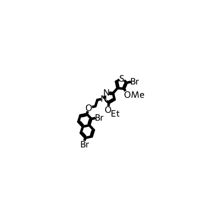 CCOc1cc(-c2csc(Br)c2OC)nn1CCOc1ccc2cc(Br)ccc2c1Br